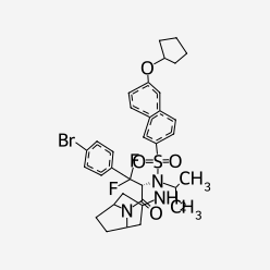 CC(C)N([C@H](C(=O)N1C2CCC1CC(N)C2)C(F)(F)c1ccc(Br)cc1)S(=O)(=O)c1ccc2cc(OC3CCCC3)ccc2c1